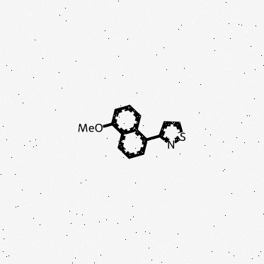 COc1cccc2c(-c3ccsn3)cccc12